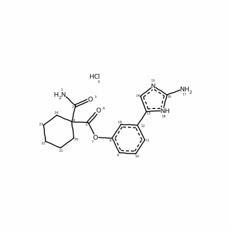 Cl.NC(=O)C1(C(=O)Oc2cccc(-c3cnc(N)[nH]3)c2)CCCCC1